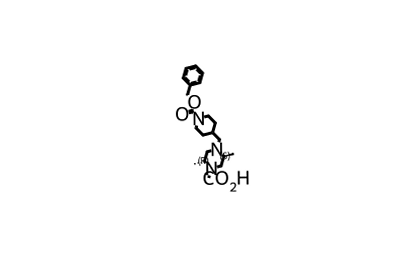 C[C@@H]1CN(CC2CCN(C(=O)OCc3ccccc3)CC2)[C@@H](C)CN1C(=O)O